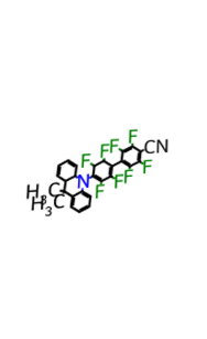 CC1(C)c2ccccc2N(C2=C(F)C(F)=C(c3c(F)c(F)c(C#N)c(F)c3F)C(F)C2F)C2C=CC=CC21